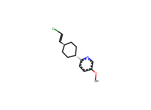 CCCOc1ccc([C@H]2CC[C@H](/C=C/Cl)CC2)nc1